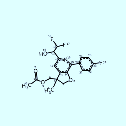 CC(=O)OCC1(C)COc2c1cc(C(O)C(F)F)nc2-c1ccc(F)cc1